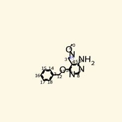 CO/N=C/c1c(N)ncnc1OCc1ccccc1